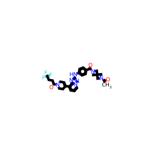 CC(=O)N1CC2(C1)CN(C(=O)c1ccc(Nc3nc4c(C5=CCN(C(=O)CCC(F)(F)F)CC5)cccn4n3)cc1)C2